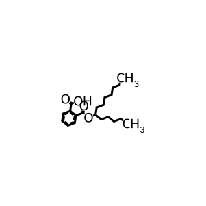 CCCCCCCC(CCCCC)OC(=O)c1ccccc1C(=O)O